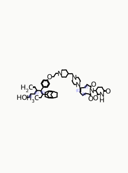 C=CC(=C\C=C\O)/C(=C(\CC)C1C2=C3CCC(=C1CC2)C3)c1ccc(OCCN2CCC(CN3CCN(C4=C/C=C/C(=O)N(C5CCC(=O)NC5=O)C(=O)\C=C\4)CC3)CC2)cc1